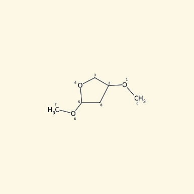 COC1COC(OC)C1